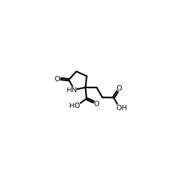 O=C(O)CCC1(C(=O)O)CCC(=O)N1